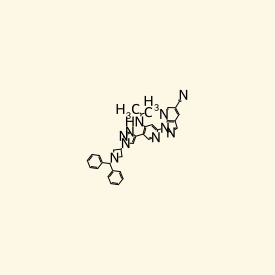 CC(C)Nc1cc(-n2ncc3cc(C#N)cnc32)ncc1-c1cn(C2CN(C(c3ccccc3)c3ccccc3)C2)nn1